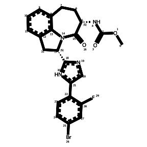 COC(=O)N[C@H]1CCc2cccc3c2N(C1=O)[C@H](c1ncc(-c2ccc(Br)cc2F)[nH]1)C3